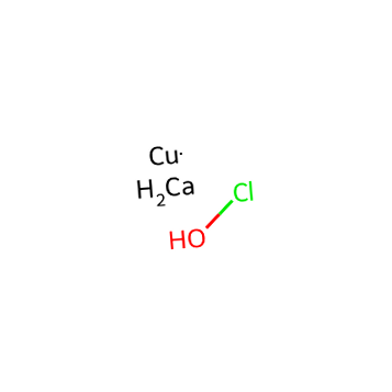 OCl.[CaH2].[Cu]